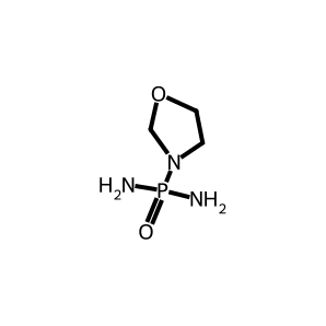 NP(N)(=O)N1CCOC1